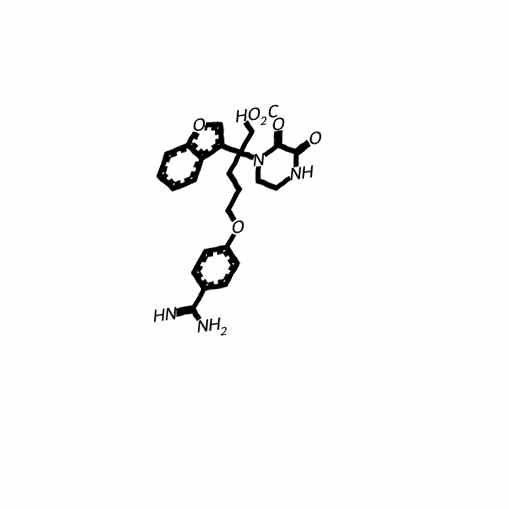 N=C(N)c1ccc(OCCCC(CC(=O)O)(c2coc3ccccc23)N2CCNC(=O)C2=O)cc1